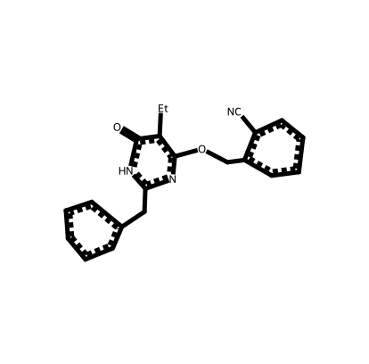 CCc1c(OCc2ccccc2C#N)nc(Cc2ccccc2)[nH]c1=O